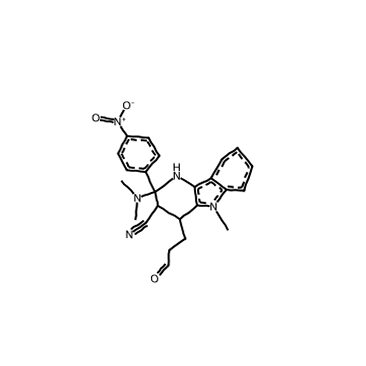 CN(C)C1(c2ccc([N+](=O)[O-])cc2)Nc2c(n(C)c3ccccc23)C(CCC=O)C1C#N